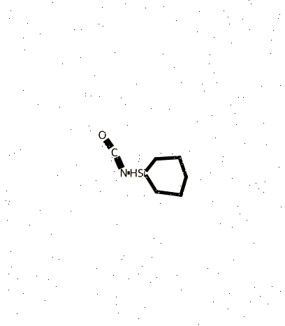 O=C=N[SiH]1CCCCC1